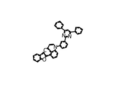 C1=CN(c2cccc(-c3nc(-c4ccccc4)cc(-c4ccccc4)n3)c2)c2cccc3c2c1cc1c2ccccc2oc31